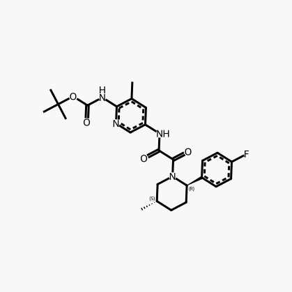 Cc1cc(NC(=O)C(=O)N2C[C@@H](C)CC[C@@H]2c2ccc(F)cc2)cnc1NC(=O)OC(C)(C)C